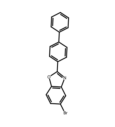 Brc1ccc2oc(-c3ccc(-c4ccccc4)cc3)nc2c1